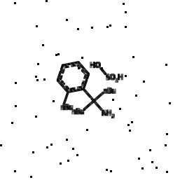 CCCCc1ccccc1C(N)(CCCC)CCCC.O=S(=O)(O)O